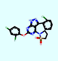 O=S1(=O)CCCN1c1nc(Oc2ccc(F)cc2F)nc2[nH]nc(-c3ccccc3Cl)c12